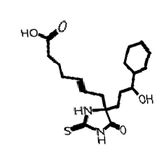 O=C(O)CCCC=CCC1(CCC(O)C2CCCCC2)NC(=S)NC1=O